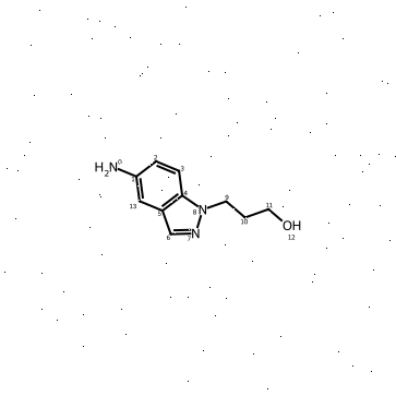 Nc1ccc2c(cnn2CCCO)c1